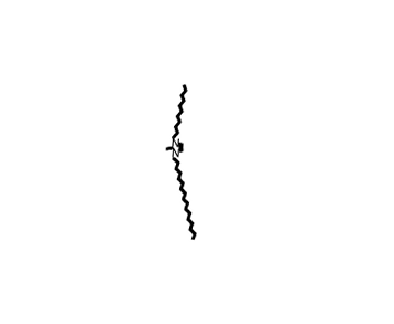 CCCCCCCCCCCCCCCCCN1C=CN(CCCCCCCCCCC)C1C